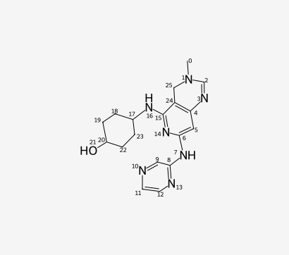 CN1C=Nc2cc(Nc3cnccn3)nc(NC3CCC(O)CC3)c2C1